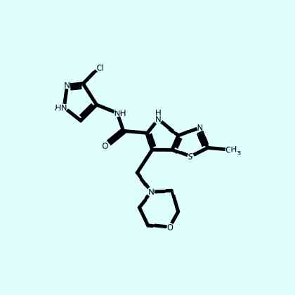 Cc1nc2[nH]c(C(=O)Nc3c[nH]nc3Cl)c(CN3CCOCC3)c2s1